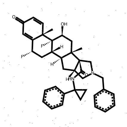 C[C@]12C=CC(=O)C=C1[C@@H](F)C[C@H]1[C@@H]3C[C@H]4CN(Cc5ccccc5)C[C@@]4(C(=O)NC4(c5ccccc5)CC4)[C@@]3(C)C[C@H](O)[C@@]12F